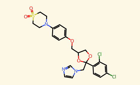 O=S1(=O)CCN(c2ccc(OCC3COC(Cn4ccnc4)(c4ccc(Cl)cc4Cl)O3)cc2)CC1